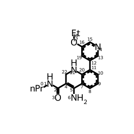 CCCNC(=O)C1=C(N)c2cccc(-c3cncc(OCC)c3)c2NC1